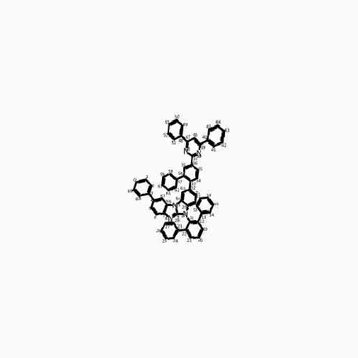 c1ccc(-c2ccc3nc4n(-c5c(-c6ccccc6)cccc5-c5ccccc5)c5ccc(-c6ccc(-c7nc(-c8ccccc8)cc(-c8ccccc8)n7)cc6-c6ccccc6)cc5n4c3c2)cc1